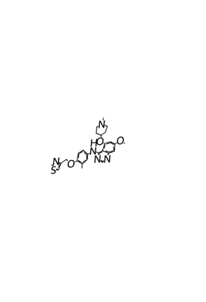 COc1cc(OC2CCN(C)CC2)c2c(Nc3ccc(OCc4cscn4)c(C)c3)ncnc2c1